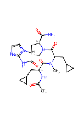 CN(C(=O)[C@H](CC1CC1)NC(=O)C(F)(F)F)C(CC1CC1)C(=O)N1C[C@]2(C[C@H]1C(N)=O)C(=O)Nc1nccn12